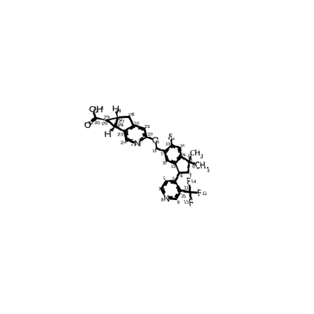 CC1(C)CC(c2ccncc2C(F)(F)F)c2cc(COc3cc4c(cn3)[C@H]3[C@@H](C4)[C@@H]3C(=O)O)c(F)cc21